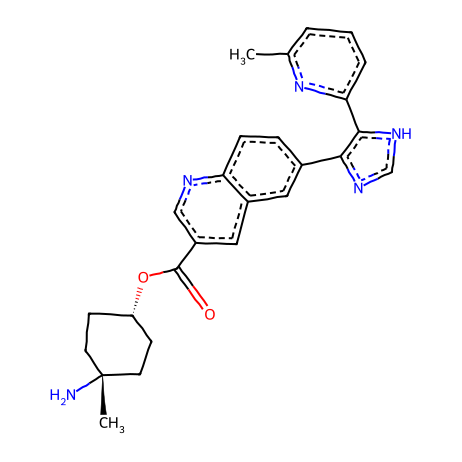 Cc1cccc(-c2[nH]cnc2-c2ccc3ncc(C(=O)O[C@H]4CC[C@@](C)(N)CC4)cc3c2)n1